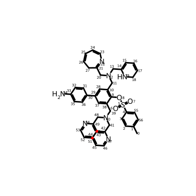 Cc1ccc(S(=O)(=O)Oc2c(CN(CC3=CC=CCN3)CC3=NC=CC=CC3)cc(-c3ccc(N)cc3)cc2CN(Cc2ccccn2)Cc2ccccn2)cc1